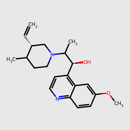 C=C[C@@H]1CN(C(C)[C@@H](O)c2ccnc3ccc(OC)cc23)CCC1C